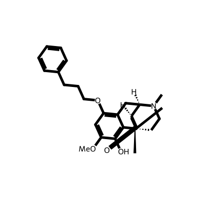 COc1cc(OCCCc2ccccc2)c2c(c1O)[C@]13CCN(C)[C@H](C2)[C@@H]1CCC(=O)[C@H]3C